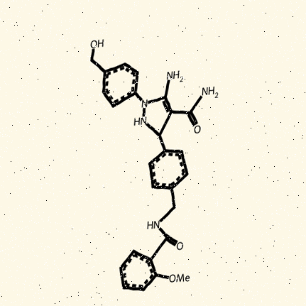 COc1ccccc1C(=O)NCc1ccc(C2NN(c3ccc(CO)cc3)C(N)=C2C(N)=O)cc1